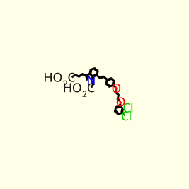 O=C(O)CCCc1cn(CC(=O)O)c2c(C=Cc3ccc(OCCCOc4cccc(Cl)c4Cl)cc3)cccc12